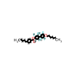 CCCCCCCOc1c(F)c(F)c(-c2c(F)c(F)c(OC(=O)C3CCC(CCCCC)CC3)c(F)c2F)c(F)c1F